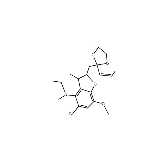 C/C=C\C1(CC2Oc3c(OC)cc(Br)c(N(C)CC)c3C2C)OCCO1